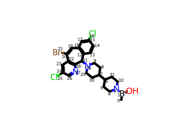 CB(O)N1CCC(C2CCN(C3c4ccc(Cl)cc4C=C(Br)c4cc(Cl)cnc43)CC2)CC1